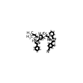 CC(C)=CC(=O)N1CCCCC1c1nc(-c2ccccc2)c[nH]1.CSC(C)C(=O)N1CCCCC1c1ncc(-c2ccc(C#N)cc2F)[nH]1